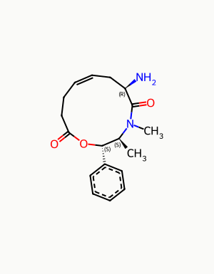 C[C@H]1[C@H](c2ccccc2)OC(=O)CCC=CC[C@@H](N)C(=O)N1C